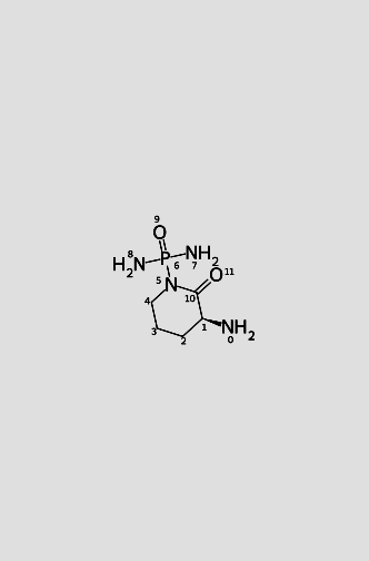 N[C@H]1CCCN(P(N)(N)=O)C1=O